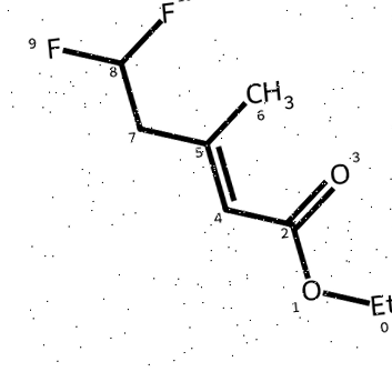 CCOC(=O)/C=C(\C)CC(F)F